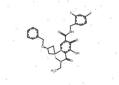 CCN1C[C@]2(C[C@H](OCc3ccccc3)C2)n2cc(C(=O)NCc3ccc(F)cc3F)c(=O)c(O)c2C1=O